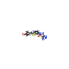 Cn1cnnc1SCC(=O)Nc1ccc2nc(SCc3ccc(Br)cc3)sc2c1